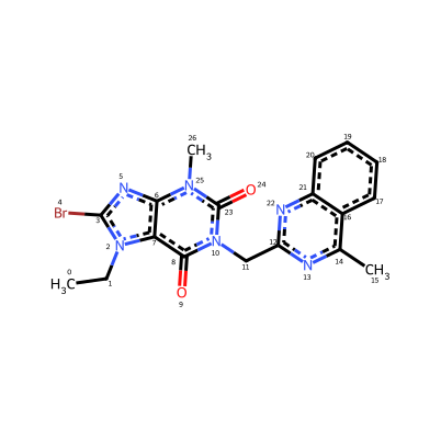 CCn1c(Br)nc2c1c(=O)n(Cc1nc(C)c3ccccc3n1)c(=O)n2C